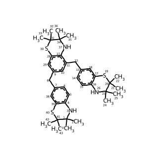 CC1(C)Nc2ccc(Cc3cc(Cc4ccc5c(c4)SC(C)(C)C(C)(C)N5)c4c(c3)SC(C)(C)C(C)(C)N4)cc2SC1(C)C